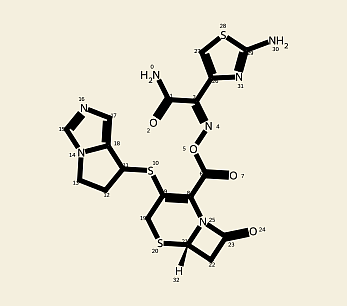 NC(=O)C(=NOC(=O)C1=C(SC2CCn3cncc32)CS[C@H]2CC(=O)N12)c1csc(N)n1